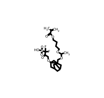 C=C(C)C(=O)OCCCCOC(C)OCC12CC3CC(C1)CC(OCC(=O)C(F)(F)S(=O)(=O)O)(C3)C2